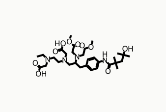 CCN(CCN(CC(=O)O)CC(Cc1ccc(NC(=O)C(C)(C)CC(C)(C)O)cc1)N(CC(=O)OC)CC(=O)OC)CC(=O)O